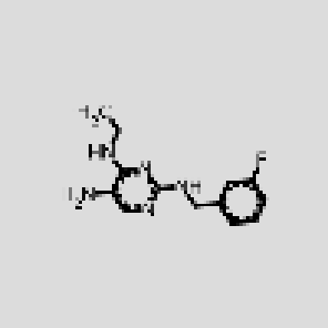 [CH2]CNc1nc(NCc2cccc(F)c2)ncc1N